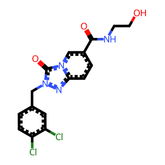 O=C(NCCO)c1ccc2nn(Cc3ccc(Cl)c(Cl)c3)c(=O)n2c1